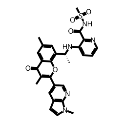 Cc1cc([C@@H](C)Nc2cccnc2C(=O)NS(C)(=O)=O)c2oc(-c3cnc4c(ccn4C)c3)c(C)c(=O)c2c1